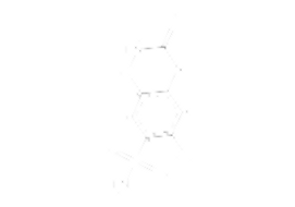 NS(=O)(=O)c1cc2c(cc1Cl)NC(=O)NS2